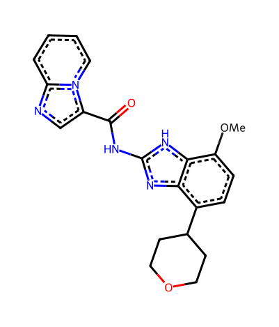 COc1ccc(C2CCOCC2)c2nc(NC(=O)c3cnc4ccccn34)[nH]c12